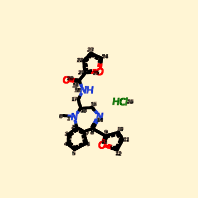 CN1c2ccccc2C(c2ccco2)=NCC1CNC(=O)c1ccco1.Cl